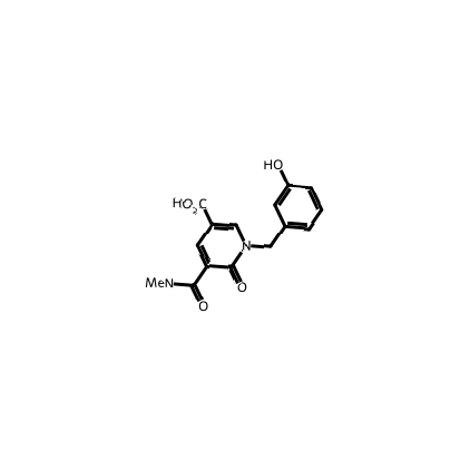 CNC(=O)c1cc(C(=O)O)cn(Cc2cccc(O)c2)c1=O